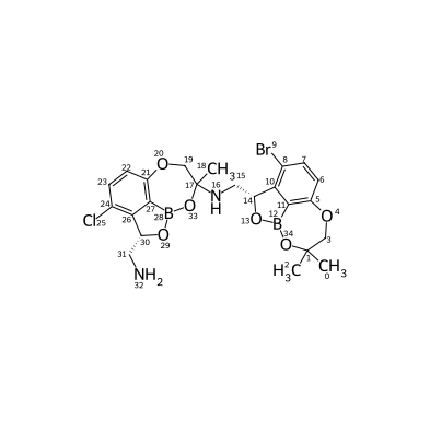 CC1(C)COc2ccc(Br)c3c2B(O[C@@H]3CNC2(C)COc3ccc(Cl)c4c3B(O[C@@H]4CN)O2)O1